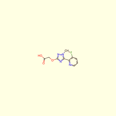 Cn1nc(OCC(=O)O)nc1-c1ncccc1F